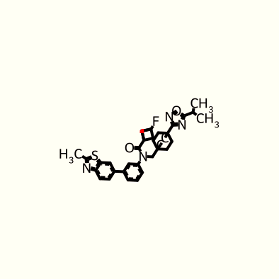 Cc1nc2ccc(-c3cccc(N(CC45CCC(c6noc(C(C)C)n6)(CC4)CC5)C(=O)C45CC(F)(C4)C5)c3)cc2s1